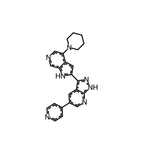 c1cc(-c2cnc3[nH]nc(-c4cc5c(N6CCCCC6)cncc5[nH]4)c3c2)ccn1